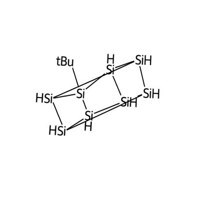 CC(C)(C)[Si]12[SiH]3[SiH]4[SiH]5[SiH]3[SiH]1[SiH]5[SiH]42